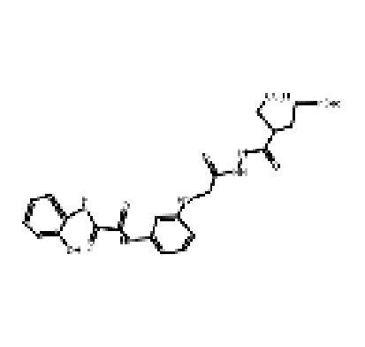 CCCCCCCCCCCCC(CC(=O)O)C(=O)NNC(=O)CNc1cccc(NC(=O)C(=O)Nc2ccccc2O)c1